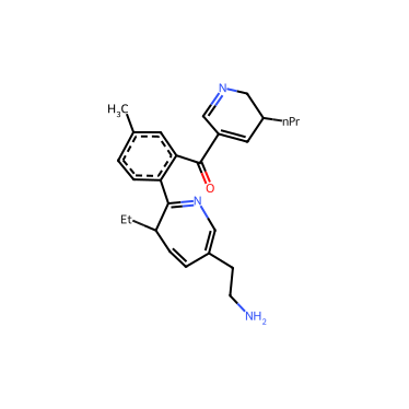 CCCC1C=C(C(=O)c2cc(C)ccc2C2=NC=C(CCN)C=CC2CC)C=NC1